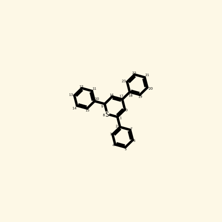 [C]1=C(c2ccccc2)SC(c2ccccc2)C=C1c1ccccc1